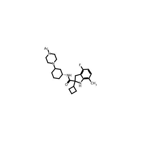 CC(=O)N1CCN(C2CCC[C@@H](NC(=O)C3(C4CCC4)Cc4c(F)ccc(C)c4N3)C2)CC1